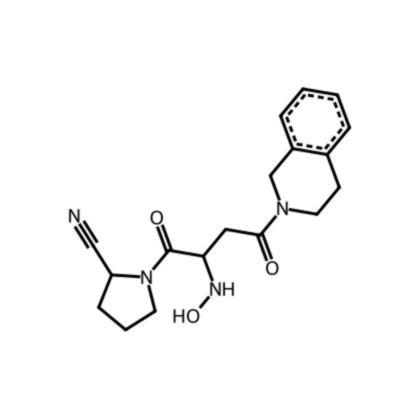 N#CC1CCCN1C(=O)C(CC(=O)N1CCc2ccccc2C1)NO